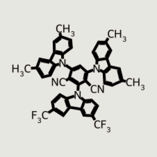 Cc1ccc2c(c1)c1cc(C)ccc1n2-c1cc(-n2c3ccc(C)cc3c3cc(C)ccc32)c(C#N)c(-n2c3ccc(C(F)(F)F)cc3c3cc(C(F)(F)F)ccc32)c1C#N